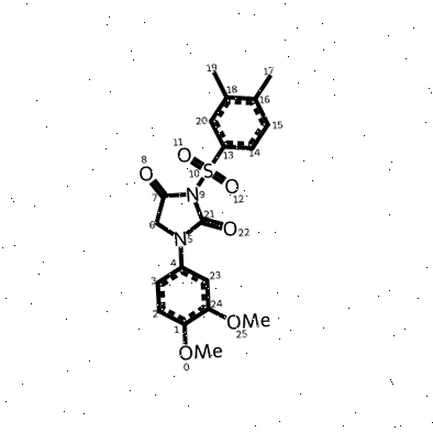 COc1ccc(N2CC(=O)N(S(=O)(=O)c3ccc(C)c(C)c3)C2=O)cc1OC